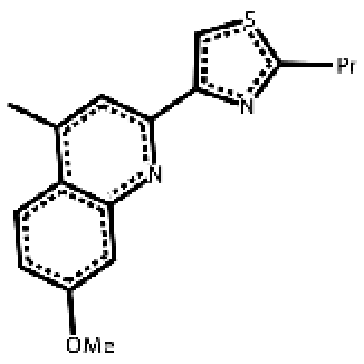 COc1ccc2c(C)cc(-c3csc(C(C)C)n3)nc2c1